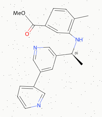 COC(=O)c1ccc(C)c(N[C@@H](C)c2cncc(-c3cccnc3)c2)c1